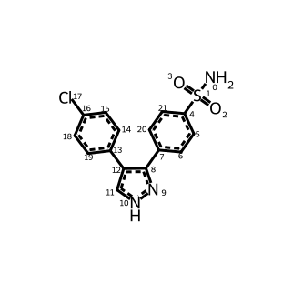 NS(=O)(=O)c1ccc(-c2n[nH]cc2-c2ccc(Cl)cc2)cc1